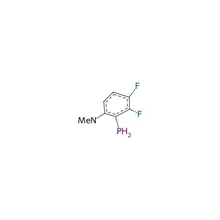 CNc1ccc(F)c(F)c1P